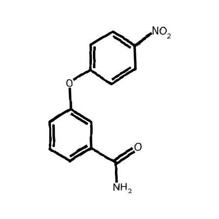 NC(=O)c1cccc(Oc2ccc([N+](=O)[O-])cc2)c1